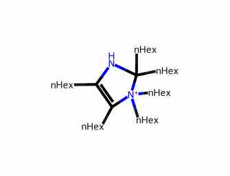 CCCCCCC1=C(CCCCCC)[N+](CCCCCC)(CCCCCC)C(CCCCCC)(CCCCCC)N1